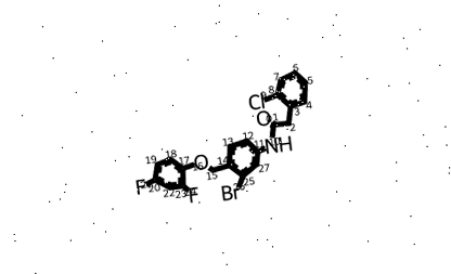 O=C(Cc1ccccc1Cl)Nc1ccc(COc2ccc(F)cc2F)c(Br)c1